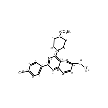 CCOC(=O)N1CCN(c2nc(-c3ccc(Cl)cc3)nc3ccc(OC(F)(F)F)cc23)CC1